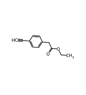 C#Cc1ccc(CC(=O)OCC)cc1